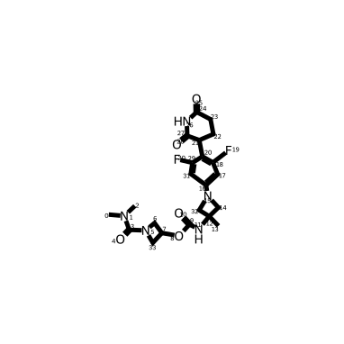 CN(C)C(=O)N1CC(OC(=O)NC2(C)CN(c3cc(F)c(C4CCC(=O)NC4=O)c(F)c3)C2)C1